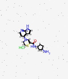 Cl.N[C@@H]1CC[C@H](NC(=O)C2=CN(c3ccnc4[nH]ccc34)CCS2)C1